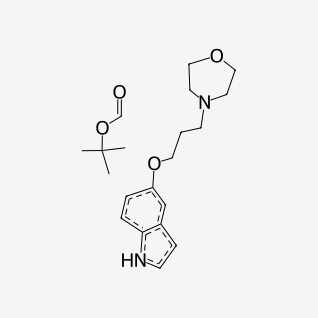 CC(C)(C)OC=O.c1cc2cc(OCCCN3CCOCC3)ccc2[nH]1